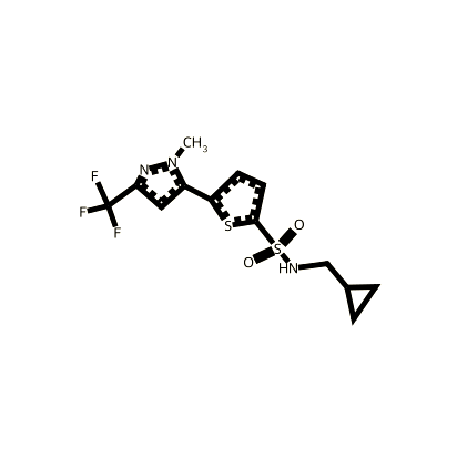 Cn1nc(C(F)(F)F)cc1-c1ccc(S(=O)(=O)NCC2CC2)s1